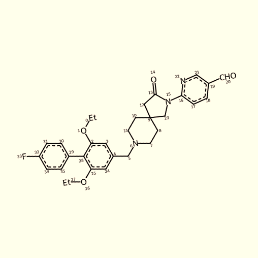 CCOc1cc(CN2CCC3(CC2)CC(=O)N(c2ccc(C=O)cn2)C3)cc(OCC)c1-c1ccc(F)cc1